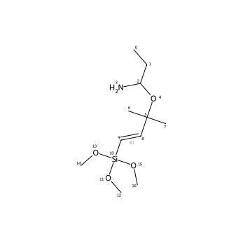 CCC(N)OC(C)(C)/C=C/[Si](OC)(OC)OC